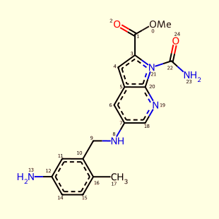 COC(=O)c1cc2cc(NCc3cc(N)ccc3C)cnc2n1C(N)=O